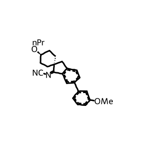 CCCO[C@H]1CC[C@]2(CC1)Cc1ccc(-c3cccc(OC)c3)cc1/C2=N/C#N